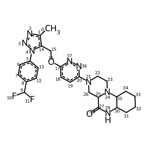 Cc1nnn(-c2ccc(C(F)F)cc2)c1COc1ccc(N2CCN3C(C2)C(=O)NC2CCCCC23)nn1